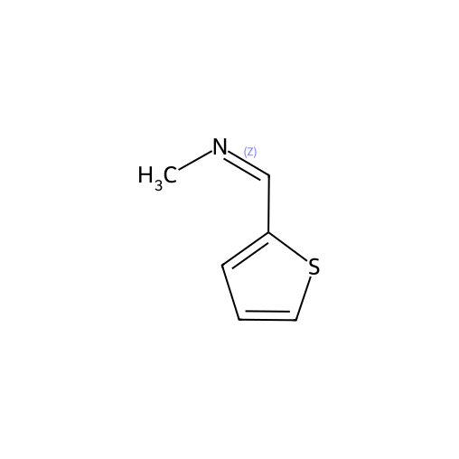 C/N=C\c1cccs1